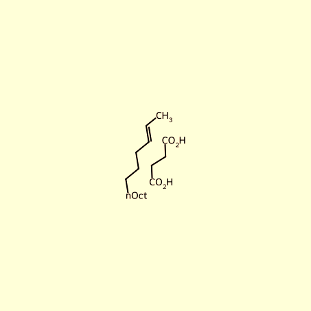 CC=CCCCCCCCCCCC.O=C(O)CCC(=O)O